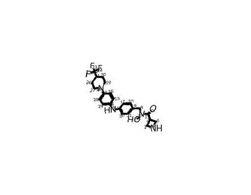 O=C(C1CNC1)N(O)Cc1ccc(Nc2ccc(N3CCC(C(F)(F)F)CC3)cc2)cc1